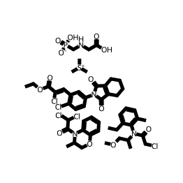 CC1COc2ccccc2N1C(=O)C(Cl)Cl.CCOC(=O)/C(Cl)=C/c1cc(N2C(=O)C3=C(CCCC3)C2=O)ccc1Cl.CCc1cccc(C)c1N(C(=O)CCl)C(C)COC.C[S+](C)C.O=C(O)CNCP(=O)([O-])O